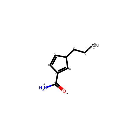 CC(C)(C)CCC1C=CC(C(N)=O)=C1